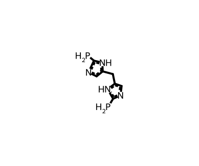 Pc1ncc(Cc2cnc(P)[nH]2)[nH]1